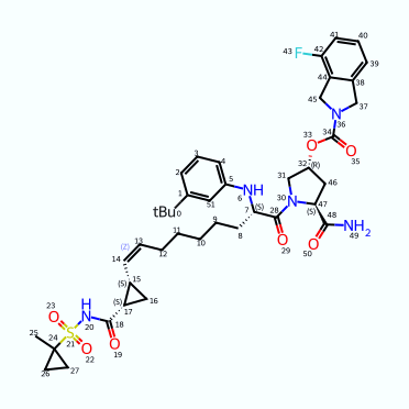 CC(C)(C)c1cccc(N[C@@H](CCCCC/C=C\[C@@H]2C[C@@H]2C(=O)NS(=O)(=O)C2(C)CC2)C(=O)N2C[C@H](OC(=O)N3Cc4cccc(F)c4C3)C[C@H]2C(N)=O)c1